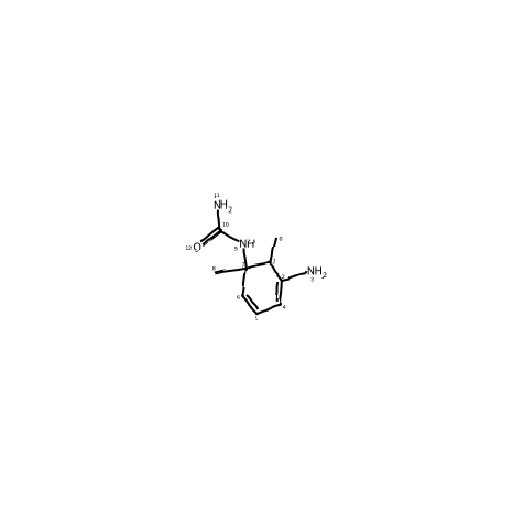 CC1C(N)=CC=CC1(C)NC(N)=O